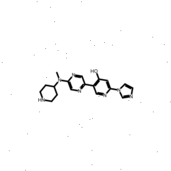 CN(c1cnc(-c2cnc(-n3ccnc3)cc2O)cn1)C1CCNCC1